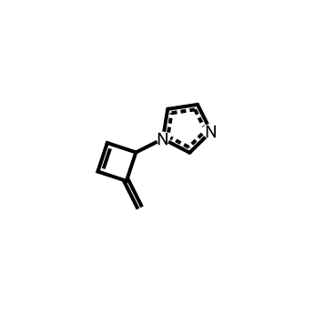 C=C1C=CC1n1ccnc1